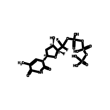 Cc1cn([C@H]2C[C@H](O)[C@@](F)(C(F)(F)OP(=O)(O)OP(=O)(O)OP(=O)(O)O)O2)c(=O)[nH]c1=O